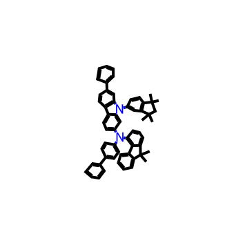 CC1(C)CC(C)(C)c2cc(-n3c4cc(-c5ccccc5)ccc4c4ccc(N(c5ccc(-c6ccccc6)cc5)c5cccc6c5-c5ccccc5C6(C)C)cc43)ccc21